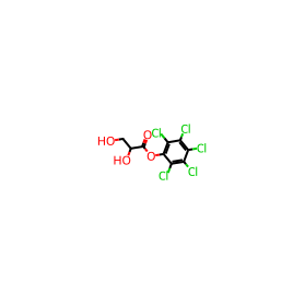 O=C(Oc1c(Cl)c(Cl)c(Cl)c(Cl)c1Cl)C(O)CO